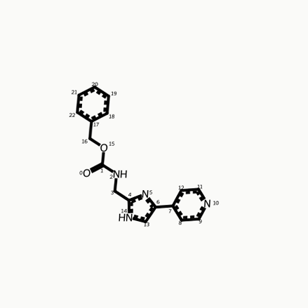 O=C(NCc1nc(-c2ccncc2)c[nH]1)OCc1ccccc1